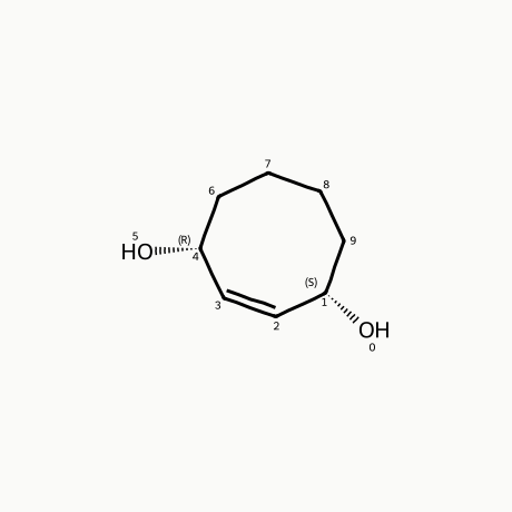 O[C@@H]1C=C[C@H](O)CCCC1